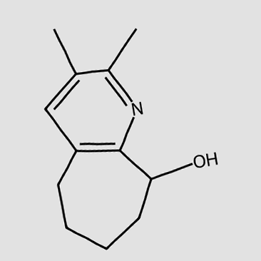 Cc1cc2c(nc1C)C(O)CCCC2